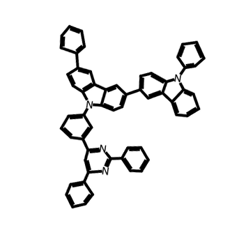 c1ccc(-c2ccc3c(c2)c2cc(-c4ccc5c(c4)c4ccccc4n5-c4ccccc4)ccc2n3-c2cccc(-c3cc(-c4ccccc4)nc(-c4ccccc4)n3)c2)cc1